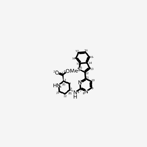 COC(=O)[C@H]1C[C@H](Nc2nccc(-c3cc4ccccc4s3)n2)CCN1